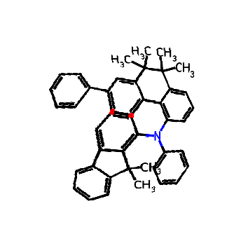 CC1(C)c2ccccc2-c2cccc(N(c3ccccc3)c3cccc4c3-c3ccc(-c5ccccc5)cc3C(C)(C)C4(C)C)c21